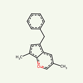 Cc1coc2c(C)[c]c(Cc3ccccc3)c-2c1